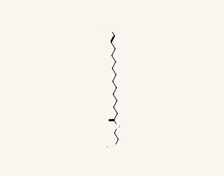 CCCCCCCCC=CCCCCCCCCCCCC(=O)NCCCCCCCCCCCC